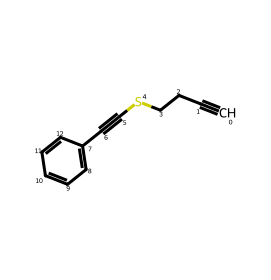 C#CCCSC#Cc1ccccc1